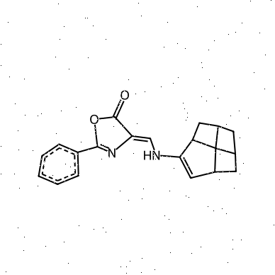 O=C1OC(c2ccccc2)=N/C1=C\NC1=CC2CC3CC4CC1C234